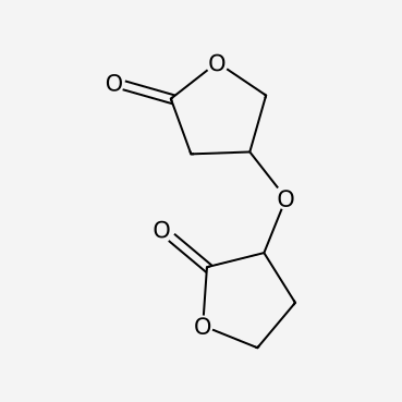 O=C1CC(OC2CCOC2=O)CO1